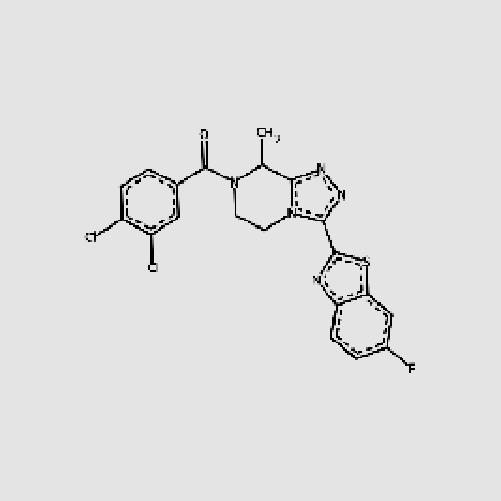 CC1c2nnc(-c3nc4ccc(F)cc4s3)n2CCN1C(=O)c1ccc(Cl)c(Cl)c1